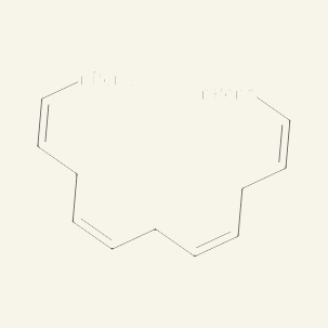 CCCCC/C=C\C/C=C\C/C=C\C/C=C\CCCCC